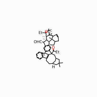 CCC(=O)C1(c2cc3c(cc2CC)C(C=O)[C@]2(C)[C@]34CCC3CC=CC(CC)([C@@H](CC(C)=O)[C@]2(C)C(=O)CC)[C@]34C)CC2C[C@H](CCC3=C1Cc1ccccc13)CC(C)(C)C2